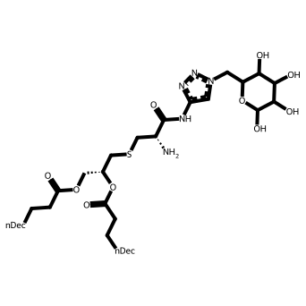 CCCCCCCCCCCCC(=O)OC[C@H](CSC[C@@H](N)C(=O)Nc1cn(CC2OC(O)C(O)C(O)C2O)nn1)OC(=O)CCCCCCCCCCCC